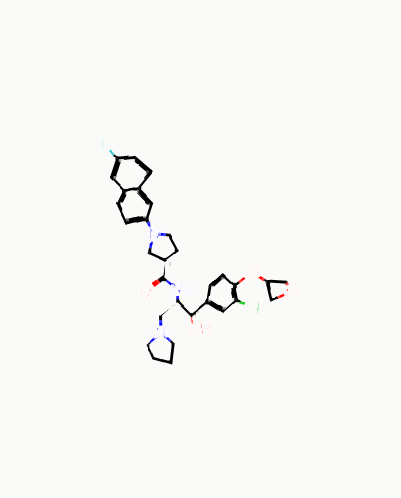 O=C(N[C@H](CN1CCCC1)[C@H](O)c1ccc(OC2COC2)c(Cl)c1)[C@@H]1CCN(c2ccc3cc(F)ccc3c2)C1